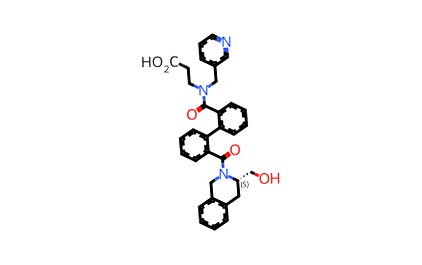 O=C(O)CCN(Cc1cccnc1)C(=O)c1ccccc1-c1ccccc1C(=O)N1Cc2ccccc2C[C@H]1CO